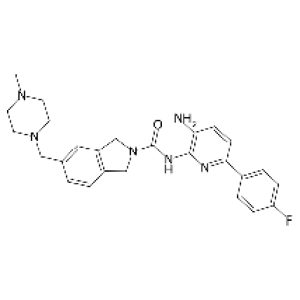 CN1CCN(Cc2ccc3c(c2)CN(C(=O)Nc2nc(-c4ccc(F)cc4)ccc2N)C3)CC1